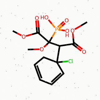 COC(=O)C(C1(Cl)C=CC=CC1)C(OC)(C(=O)OC)P(=O)(O)O